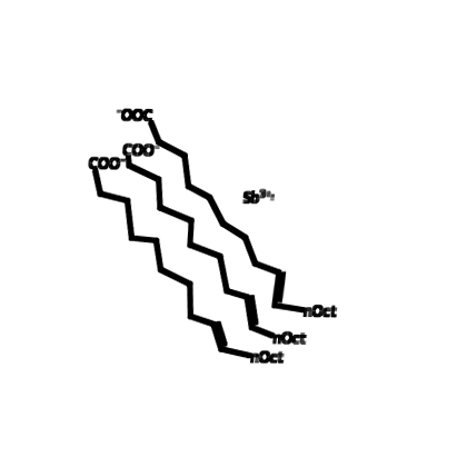 CCCCCCCCC=CCCCCCCCC(=O)[O-].CCCCCCCCC=CCCCCCCCC(=O)[O-].CCCCCCCCC=CCCCCCCCC(=O)[O-].[Sb+3]